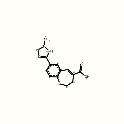 CN1NN=C(c2ccc3c(c2)C=C(C(=O)O)CCO3)N1